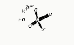 O=S(=O)([O-])[O-].[K+].[OH-].[Zn+2]